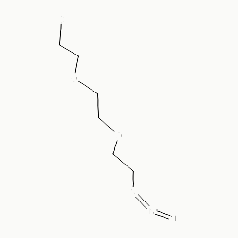 [N-]=[N+]=NCCOCCOCC[O]